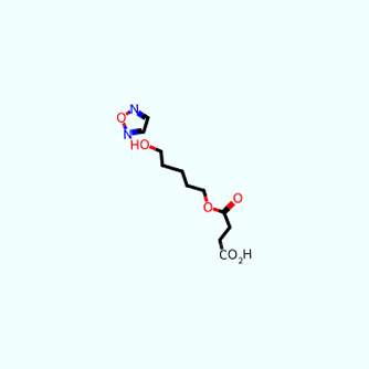 O=C(O)CCC(=O)OCCCCCO.c1cnon1